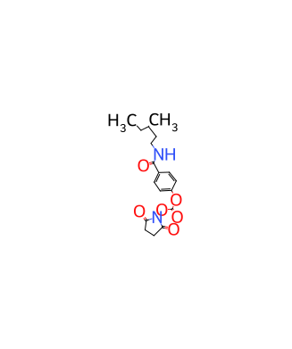 CCC(C)CCNC(=O)c1ccc(OC(=O)ON2C(=O)CCC2=O)cc1